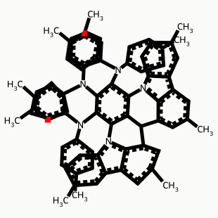 Cc1ccc(N(c2ccc(C)cc2)c2c(N(c3ccc(C)cc3)c3ccc(C)cc3)c3c4c(c2N(c2ccc(C)cc2)c2ccc(C)cc2)-n2c5ccc(C)cc5c5cc(C)cc(c52)C4c2cc(C)cc4c5cc(C)ccc5n-3c24)cc1